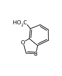 O=C(O)c1cccc2bcoc12